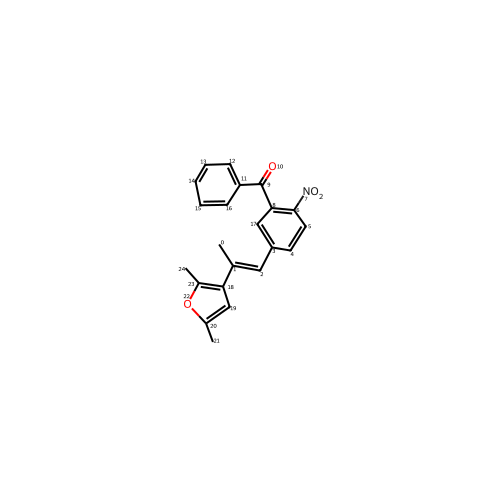 CC(=Cc1ccc([N+](=O)[O-])c(C(=O)c2ccccc2)c1)c1cc(C)oc1C